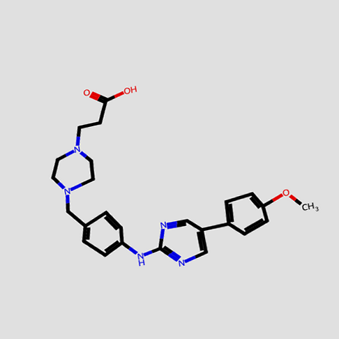 COc1ccc(-c2cnc(Nc3ccc(CN4CCN(CCC(=O)O)CC4)cc3)nc2)cc1